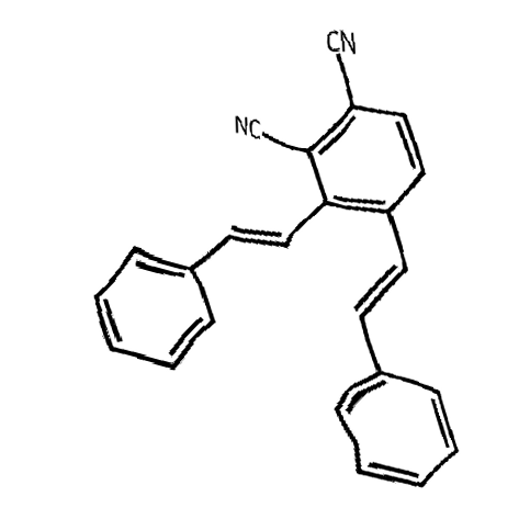 N#Cc1ccc(C=Cc2ccccc2)c(C=Cc2ccccc2)c1C#N